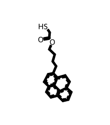 O=C(CS)OCCCCc1ccc2ccc3cccc4ccc1c2c34